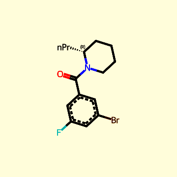 CCC[C@@H]1CCCCN1C(=O)c1cc(F)cc(Br)c1